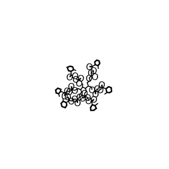 Cc1ccccc1C(=O)OOC(=O)OCCC(COC(=O)OOC(=O)c1ccccc1C)C(COC(=O)OOC(=O)c1ccccc1C)C(COC(=O)OOC(=O)c1ccccc1C)C(CCOC(=O)OOC(=O)c1ccccc1C)COC(=O)OOC(=O)c1ccccc1C